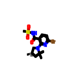 C[C@@H]1CN(c2nc(Br)ccc2C(=O)NS(C)(=O)=O)C(C)(C)C1